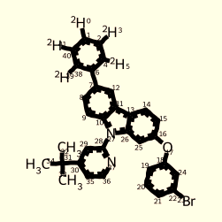 [2H]c1c([2H])c([2H])c(-c2ccc3c(c2)c2ccc(Oc4cccc(Br)c4)cc2n3-c2cc(C(C)(C)C)ccn2)c([2H])c1[2H]